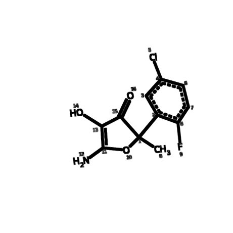 CC1(c2cc(Cl)ccc2F)OC(N)=C(O)C1=O